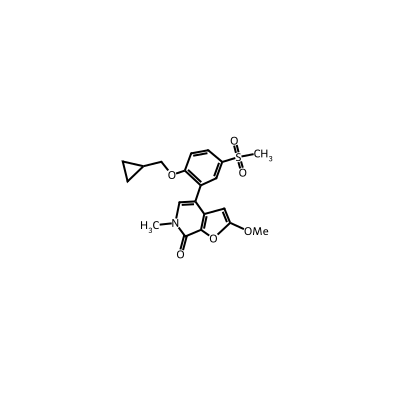 COc1cc2c(-c3cc(S(C)(=O)=O)ccc3OCC3CC3)cn(C)c(=O)c2o1